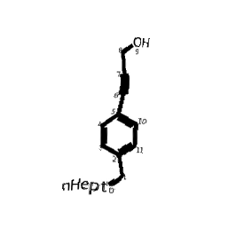 CCCCCCCCc1ccc(C#CCO)cc1